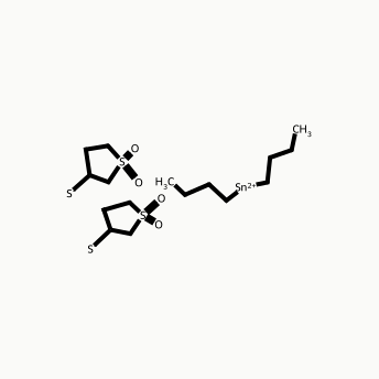 CCC[CH2][Sn+2][CH2]CCC.O=S1(=O)CCC([S-])C1.O=S1(=O)CCC([S-])C1